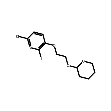 Clc1ccc(OCCOC2CCCCO2)c(I)n1